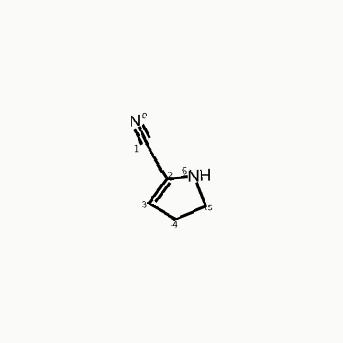 N#CC1=CC[CH]N1